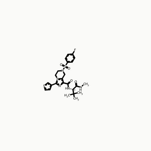 CNC(=O)[C@@H](NC(=O)c1nc(-c2ccsc2)n2c1CN(S(=O)(=O)c1ccc(F)cc1)CC2)C(C)(C)C